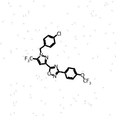 FC(F)(F)Oc1ccc(-c2noc(-c3cc(C(F)(F)F)n(Cc4ccc(Cl)cc4)n3)n2)cc1